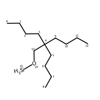 CCCCC(CCCC)(CCCC)CO[SiH3]